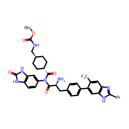 CC(C)c1nc2cc(C(F)(F)F)c(-c3ccc(C[C@H](N)C(=O)N(c4ccc5[nH]c(=O)[nH]c5c4)C(=O)[C@H]4CC[C@H](CNC(=O)OC(C)(C)C)CC4)cc3)cc2[nH]1